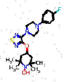 CC1(C)CC(Oc2nsnc2N2CCN(c3ccc(F)cc3)CC2)CC(C)(C)N1O